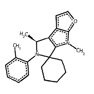 Cc1ccccc1N1[C@@H](C)c2c(n(C)c3occc23)C12CCCCC2